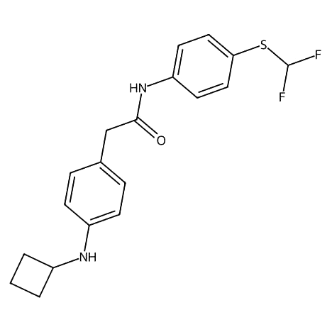 O=C(Cc1ccc(NC2CCC2)cc1)Nc1ccc(SC(F)F)cc1